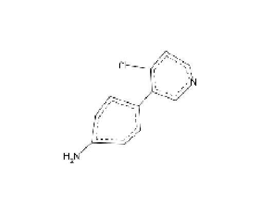 Nc1ccc(-c2cnccc2Cl)cc1